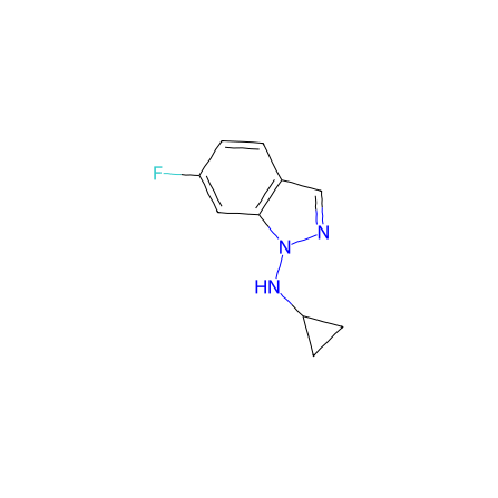 Fc1ccc2cnn(NC3CC3)c2c1